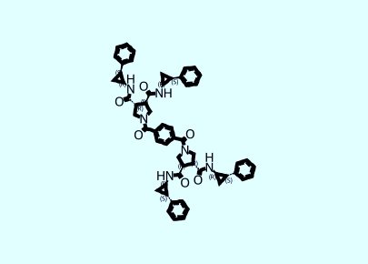 O=C(N[C@@H]1C[C@H]1c1ccccc1)[C@H]1CN(C(=O)c2ccc(C(=O)N3C[C@H](C(=O)N[C@@H]4C[C@H]4c4ccccc4)[C@@H](C(=O)N[C@@H]4C[C@H]4c4ccccc4)C3)cc2)C[C@@H]1C(=O)N[C@@H]1C[C@H]1c1ccccc1